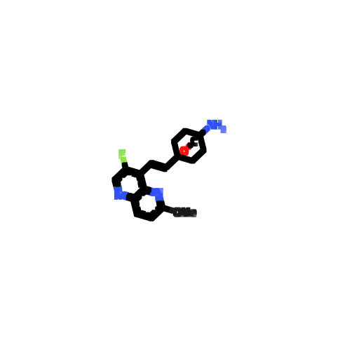 COc1ccc2ncc(F)c(C=CC34CCC(N)(CC3)CO4)c2n1